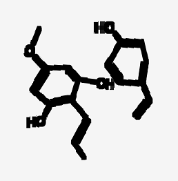 C=Cc1ccc(O)cc1.CC=Cc1c(O)cc(OC)cc1O